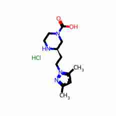 Cc1cc(C)n(CC[C@@H]2CN(C(=O)O)CCN2)n1.Cl